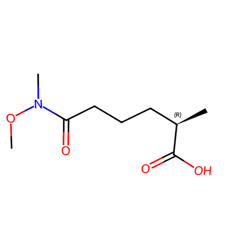 CON(C)C(=O)CCC[C@@H](C)C(=O)O